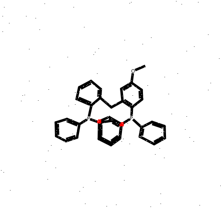 COc1ccc(P(c2ccccc2)c2ccccc2)c(Cc2ccccc2P(c2ccccc2)c2ccccc2)c1